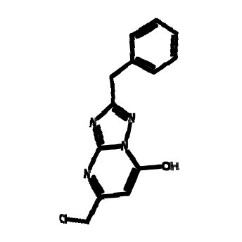 Oc1cc(CCl)nc2nc(Cc3ccccc3)nn12